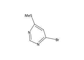 CSc1cc(Br)ncn1